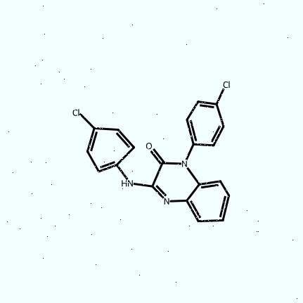 O=c1c(Nc2ccc(Cl)cc2)nc2ccccc2n1-c1ccc(Cl)cc1